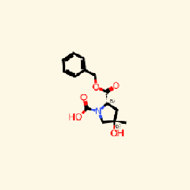 C[C@]1(O)C[C@@H](C(=O)OCc2ccccc2)N(C(=O)O)C1